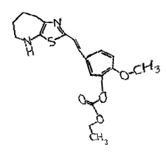 CCOC(=O)Oc1cc(C=Cc2nc3c(s2)NCCCC3)ccc1OC